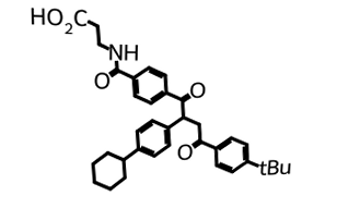 CC(C)(C)c1ccc(C(=O)CC(C(=O)c2ccc(C(=O)NCCC(=O)O)cc2)c2ccc(C3CCCCC3)cc2)cc1